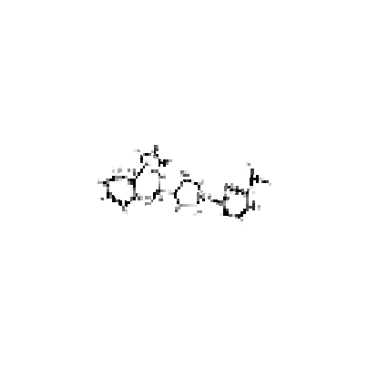 CN(C)c1nccc(N2CCC(C(=O)N3N=CCC3c3ccccc3)CC2)n1